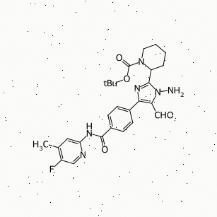 Cc1cc(NC(=O)c2ccc(-c3nc(C4CCCCN4C(=O)OC(C)(C)C)n(N)c3C=O)cc2)ncc1F